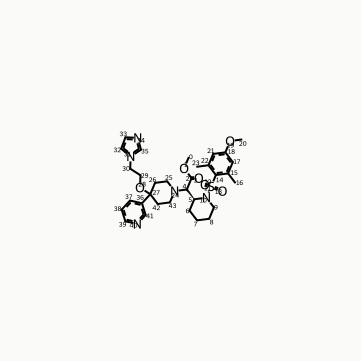 COC(=O)C([C@@H]1CCCCN1S(=O)(=O)c1c(C)cc(OC)cc1C)N1CCC(OCCn2ccnc2)(c2cccnc2)CC1